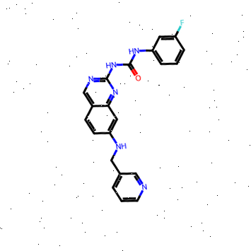 O=C(Nc1cccc(F)c1)Nc1ncc2ccc(NCc3cccnc3)cc2n1